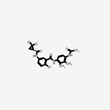 Cc1c(NC(=O)c2cc(NC(=O)[C@H]3CC3(Cl)Cl)ccc2Cl)ccc(NC(=O)C(F)(F)F)c1C